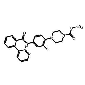 CC(C)(C)OC(=O)N1CCN(c2ccc(NC(=O)c3ccccc3-c3cccnc3)cc2F)CC1